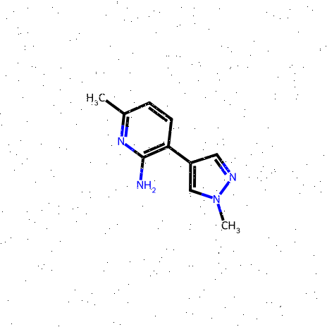 Cc1ccc(-c2cnn(C)c2)c(N)n1